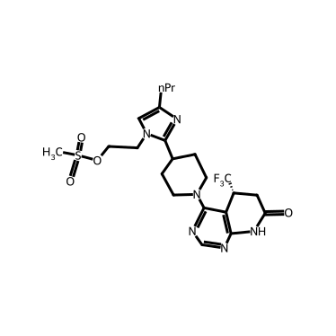 CCCc1cn(CCOS(C)(=O)=O)c(C2CCN(c3ncnc4c3[C@H](C(F)(F)F)CC(=O)N4)CC2)n1